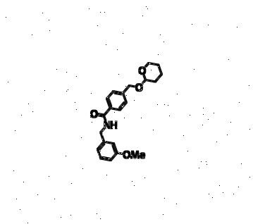 COc1cccc(CNC(=O)c2ccc(COC3CCCCO3)cc2)c1